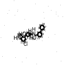 O=C(N[C@H]1[C@@H]2C[C@](O)(c3cc(Cl)cc4[nH]ncc34)C[C@@H]21)c1cccc(-c2ccccc2)c1